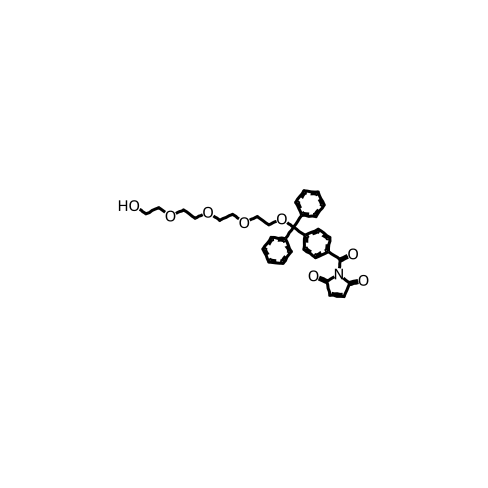 O=C1C=CC(=O)N1C(=O)c1ccc(C(OCCOCCOCCOCCO)(c2ccccc2)c2ccccc2)cc1